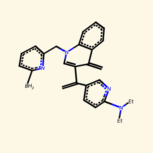 Bc1cccc(CN2C=C(C(=C)c3ccc(N(CC)CC)nc3)C(=C)c3ccccc32)n1